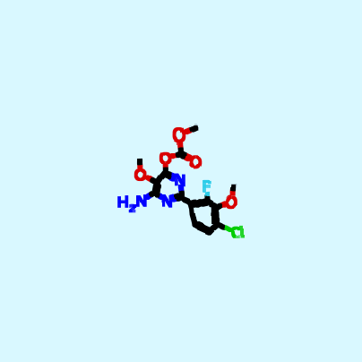 COC(=O)Oc1nc(-c2ccc(Cl)c(OC)c2F)nc(N)c1OC